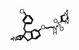 CN1C2C1C21Cc2ccc(OCCNS(=O)(=O)c3cn(C)cn3)cc2C1Cc1cccc(Cl)c1